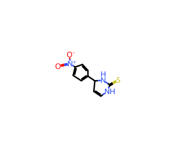 O=[N+]([O-])c1ccc(C2C=CNC(=S)N2)cc1